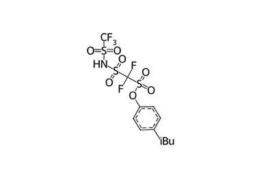 CCC(C)c1ccc(OS(=O)(=O)C(F)(F)S(=O)(=O)NS(=O)(=O)C(F)(F)F)cc1